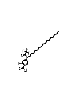 CCCCCCCCCCCCCCCCN(C(=O)C(F)(F)F)c1ccc(C(=O)Cl)c(F)c1